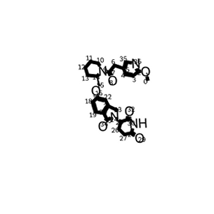 COc1ccc(CC(=O)N2CCCC[C@@H]2COc2ccc3c(c2)CN(C2CCC(=O)NC2=O)C3=O)cn1